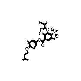 Cc1cc(C(=O)OC2=CC(=O)C(OCCC(C)C)CC2)c(Cl)c(OC(F)C(F)F)c1S(C)(=O)=O